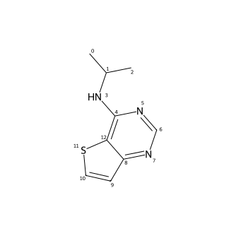 CC(C)Nc1ncnc2ccsc12